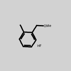 COCc1ccccc1C.F